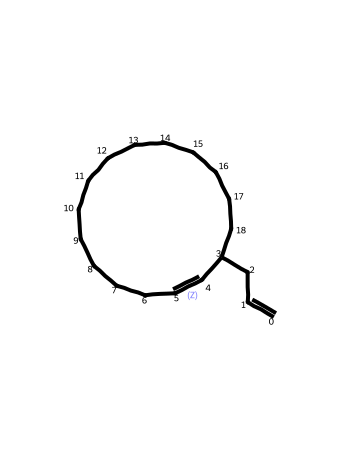 C=CCC1/C=C\CCCCCCCCCCCCC1